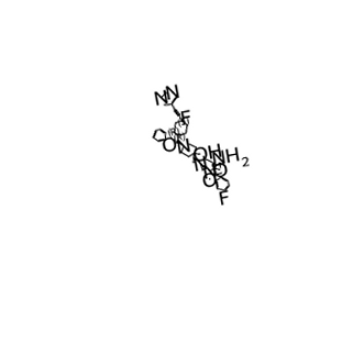 NC1=C(Oc2ccc(F)cc2)[N+]([O-])=CN(CC2(O)CCN(C(=O)[C@@H]3CC[C@@](F)(C#Cc4cncnc4)C[C@H]3c3ccccc3)CC2)C1